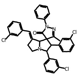 CC1=NN(c2ccccc2)C(=O)C12C(c1cccc(Cl)c1)C(c1cccc(Cl)c1)N1CC/C(=C\c3cccc(Cl)c3)C12